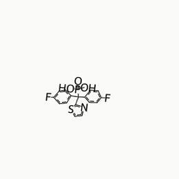 O=P(O)(O)C(c1ccc(F)cc1)(c1ccc(F)cc1)c1nccs1